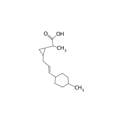 CC1CCC(C=CCC2CC2C(C)C(=O)O)CC1